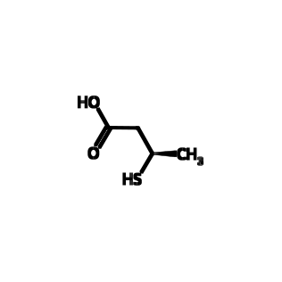 C[C@@H](S)CC(=O)O